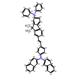 CC1(C)c2cc(/C=C/c3ccc(N(c4ccc5ccccc5c4)c4ccc5ccccc5c4)cc3)ccc2-c2ccc(N(c3ccccc3)c3ccccc3)cc21